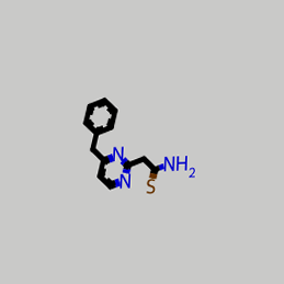 NC(=S)Cc1nccc(Cc2ccccc2)n1